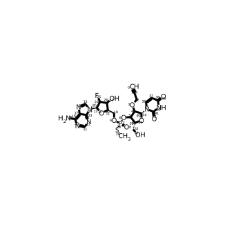 C#CCOC1C(OP(=O)(OC[C@H]2O[C@@H](n3cnc4c(N)ncnc43)C(F)C2O)SC)[C@@H](CO)O[C@H]1n1ccc(=O)[nH]c1=O